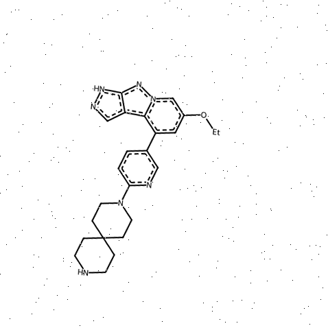 CCOc1cc(-c2ccc(N3CCC4(CCNCC4)CC3)nc2)c2c3cn[nH]c3nn2c1